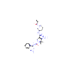 C=CC(=O)N1CCCC(Nc2n[nH]c3c2CN(C(=O)N[C@H](CN(C)C)c2ccccc2)C3(C)C)C1